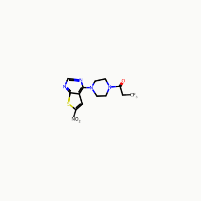 O=C(CC(F)(F)F)N1CCN(c2ncnc3sc([N+](=O)[O-])cc23)CC1